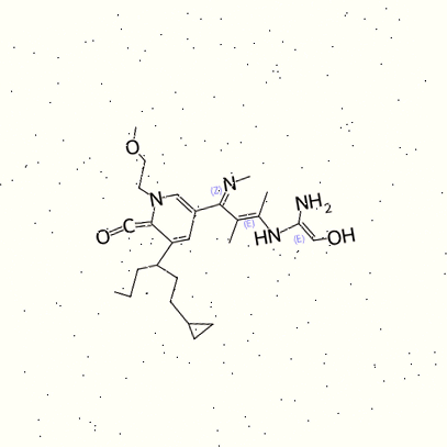 CCCC(CCC1CC1)C1=CC(C(=N/C)/C(C)=C(\C)N/C(N)=C/O)=CN(CCOC)C1=C=O